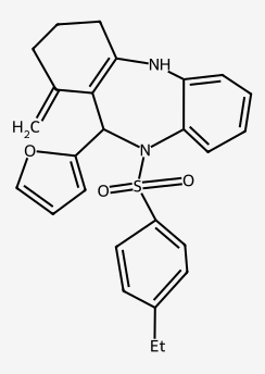 C=C1CCCC2=C1C(c1ccco1)N(S(=O)(=O)c1ccc(CC)cc1)c1ccccc1N2